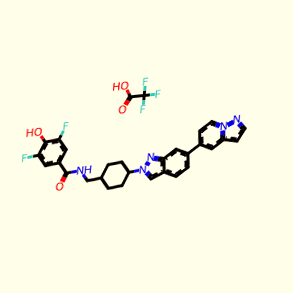 O=C(NCC1CCC(n2cc3ccc(-c4ccn5nccc5c4)cc3n2)CC1)c1cc(F)c(O)c(F)c1.O=C(O)C(F)(F)F